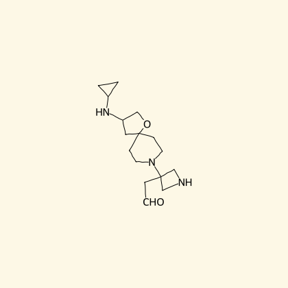 O=CCC1(N2CCC3(CC2)CC(NC2CC2)CO3)CNC1